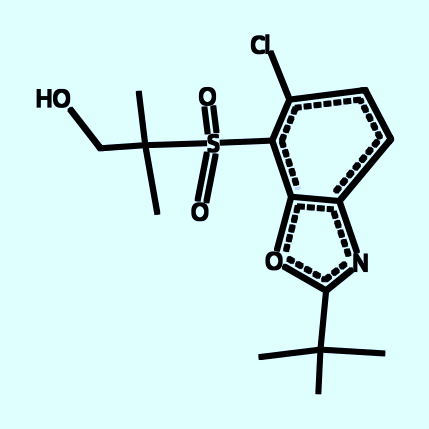 CC(C)(C)c1nc2ccc(Cl)c(S(=O)(=O)C(C)(C)CO)c2o1